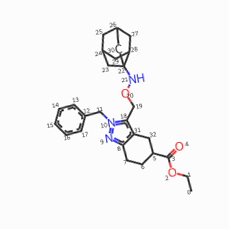 CCOC(=O)C1CCc2nn(Cc3ccccc3)c(CONC34CC5CC(CC3C5)C4)c2C1